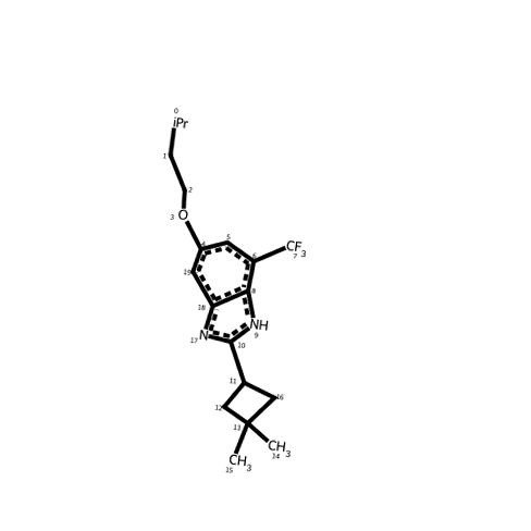 CC(C)CCOc1cc(C(F)(F)F)c2[nH]c(C3CC(C)(C)C3)nc2c1